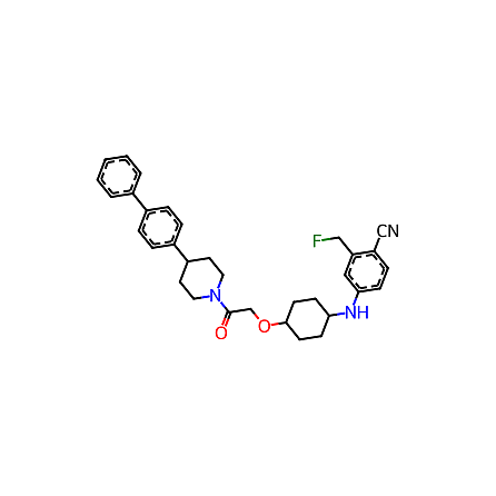 N#Cc1ccc(NC2CCC(OCC(=O)N3CCC(c4ccc(-c5ccccc5)cc4)CC3)CC2)cc1CF